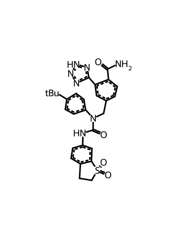 CC(C)(C)c1ccc(N(Cc2ccc(C(N)=O)c(-c3nn[nH]n3)c2)C(=O)Nc2ccc3c(c2)S(=O)(=O)CC3)cc1